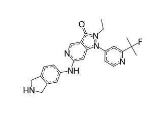 CCn1c(=O)c2cnc(Nc3ccc4c(c3)CNC4)cc2n1-c1ccnc(C(C)(C)F)c1